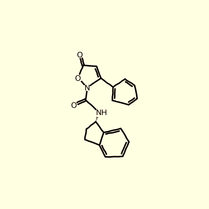 O=C(N[C@H]1CCc2ccccc21)n1oc(=O)cc1-c1ccccc1